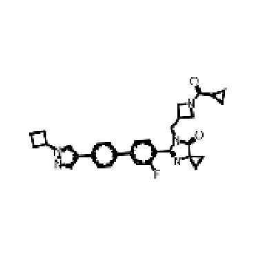 O=C(C1CC1)N1CC(CN2C(=O)C3(CC3)N=C2c2ccc(-c3ccc(-c4cnn(C5CCC5)c4)cc3)cc2F)C1